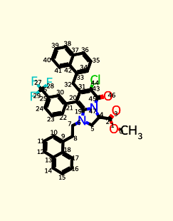 COC(=O)C1CN(CCc2cccc3ccccc23)c2c(-c3cccc(C(F)(F)F)c3)c(Cc3cccc4ccccc34)c(Cl)c(=O)n21